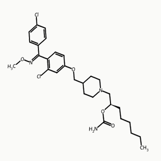 CCCCCC[C@H](CN1CCC(COc2ccc(C(=NOC)c3ccc(Cl)cc3)c(Cl)c2)CC1)OC(N)=O